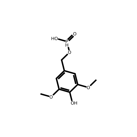 COc1cc(CO[PH](=O)O)cc(OC)c1O